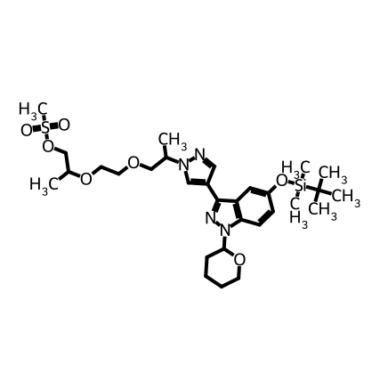 CC(COS(C)(=O)=O)OCCOCC(C)n1cc(-c2nn(C3CCCCO3)c3ccc(O[Si](C)(C)C(C)(C)C)cc23)cn1